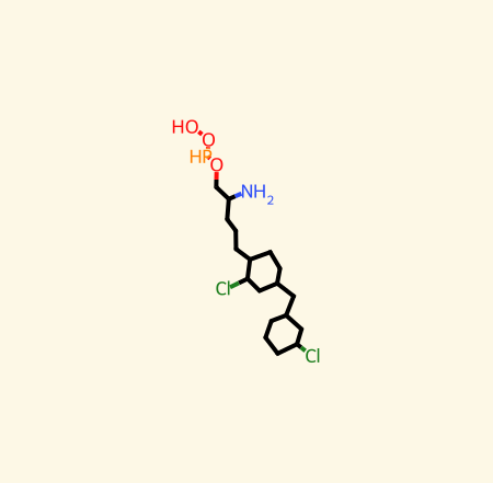 NC(CCCC1CCC(CC2CCCC(Cl)C2)CC1Cl)COPOO